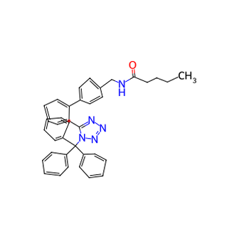 CCCCC(=O)NCc1ccc(-c2ccccc2-c2nnnn2C(c2ccccc2)(c2ccccc2)c2ccccc2)cc1